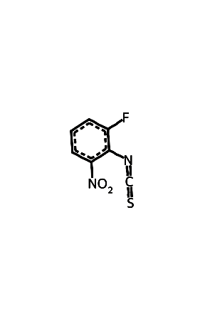 O=[N+]([O-])c1cccc(F)c1N=C=S